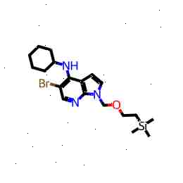 C[Si](C)(C)CCOCn1ccc2c(NC3CCCCC3)c(Br)cnc21